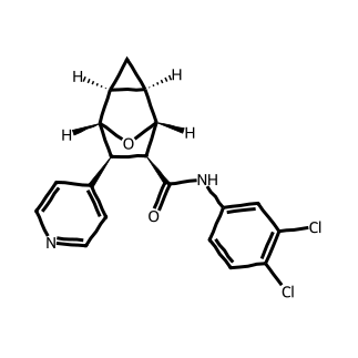 O=C(Nc1ccc(Cl)c(Cl)c1)[C@@H]1[C@@H]2O[C@@H]([C@H]3C[C@H]32)[C@@H]1c1ccncc1